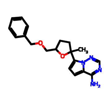 CC1(c2ccc3c(N)ncnn23)CCC(COCc2ccccc2)O1